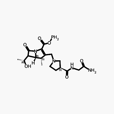 C[C@@H](O)C1C(=O)N2C(C(=O)OP)=C(CN3CC[C@H](C(=O)NCC(N)=O)C3)[C@H](C)[C@H]12